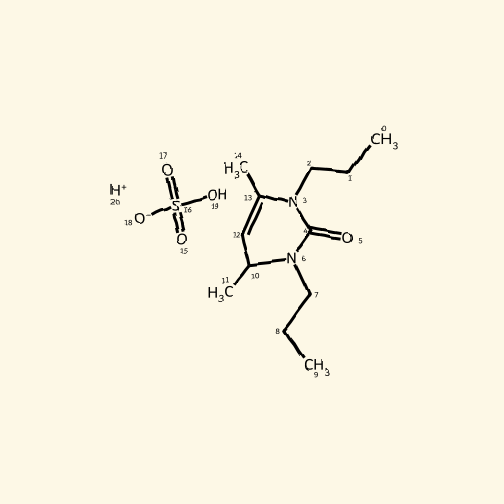 CCCN1C(=O)N(CCC)C(C)C=C1C.O=S(=O)([O-])O.[H+]